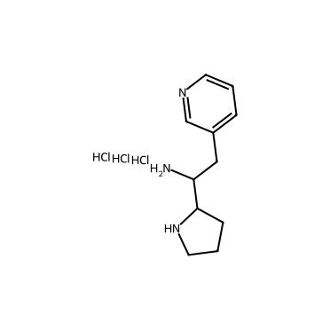 Cl.Cl.Cl.NC(Cc1cccnc1)C1CCCN1